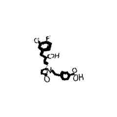 O=C(O)c1ccc(CCN2C(=O)CC[C@@H]2/C=C/[C@@H](O)Cc2ccc(F)c(Cl)c2)cc1